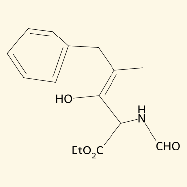 CCOC(=O)C(NC=O)C(O)=C(C)Cc1ccccc1